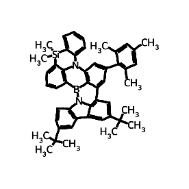 Cc1cc(C)c(-c2cc3c4c(c2)N2c5ccccc5[Si](C)(C)c5cccc(c52)B4n2c4ccc(C(C)(C)C)cc4c4cc(C(C)(C)C)cc-3c42)c(C)c1